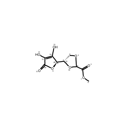 COC(=O)C1OC[C@@H]([C@H]2OC(=O)C(O)=C2O)O1